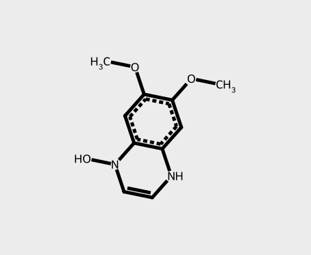 COc1cc2c(cc1OC)N(O)C=CN2